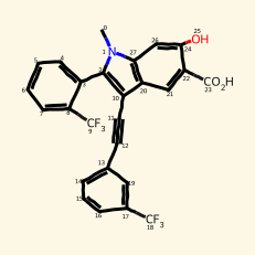 Cn1c(-c2ccccc2C(F)(F)F)c(C#Cc2cccc(C(F)(F)F)c2)c2cc(C(=O)O)c(O)cc21